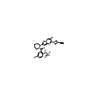 C#CC1CN(c2nc3cc([C@@H]4CCCCN4C(=O)c4cc(Cl)ccc4NS(C)(=O)=O)nn3cc2C)C1